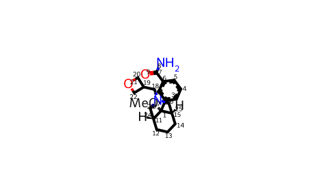 COC1(c2cccc(C(N)=O)c2)[C@@H]2CCC[C@H]1CN(CC1COC1)C2